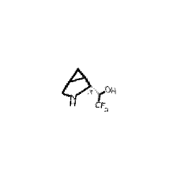 OC([C@@H]1NCC2CC21)C(F)(F)F